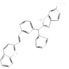 O=Cc1ccc2cc(C(c3ccccc3)c3cccc(/C=C/c4ccc5ccccc5n4)c3)[nH]c2c1